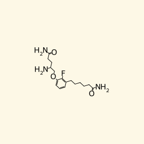 NC(=O)CCCCCc1cccc(OCC(N)CCC(N)=O)c1F